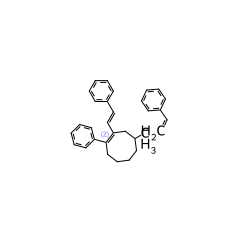 C=Cc1ccccc1.CC1CCCC/C(c2ccccc2)=C(/C=Cc2ccccc2)C1